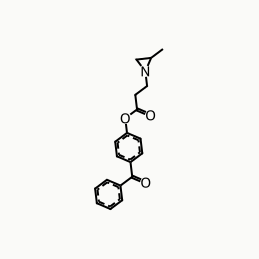 CC1CN1CCC(=O)Oc1ccc(C(=O)c2ccccc2)cc1